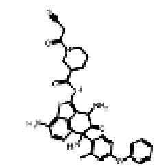 Cc1cc(Oc2ccccc2)ccc1C1(N)C(=O)C(N)c2c(NC(=O)C3CCCN(C(=O)CC#N)C3)sc3c(N)ccc1c23